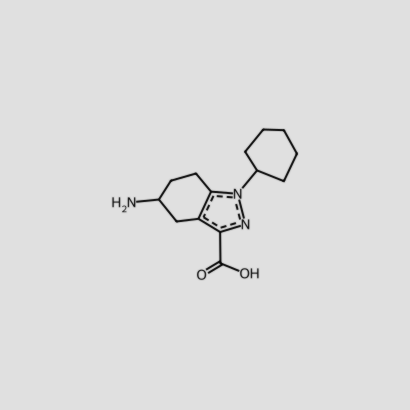 NC1CCc2c(c(C(=O)O)nn2C2CCCCC2)C1